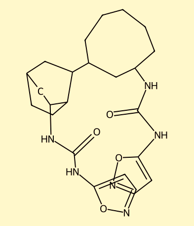 O=C(Nc1ccno1)NC1CCCCCC(C2CC3CCC2C(NC(=O)Nc2ccno2)C3)C1